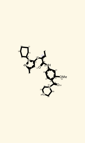 C/C=C(\Sc1cc(C)nn1C1CCCCC1)C(=O)Nc1ccc(C(=O)N2CCOCC2)c(OC)c1